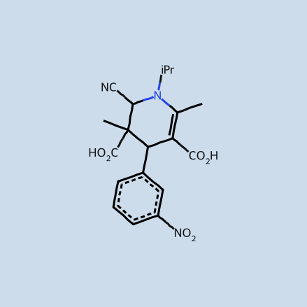 CC1=C(C(=O)O)C(c2cccc([N+](=O)[O-])c2)C(C)(C(=O)O)C(C#N)N1C(C)C